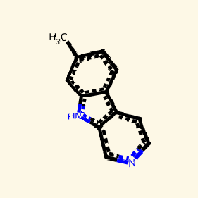 Cc1ccc2c(c1)[nH]c1cnccc12